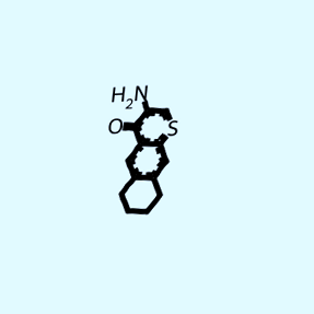 Nc1csc2cc3c(cc2c1=O)CCCC3